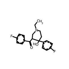 CCN1CCC(O)(c2ccc(F)cc2)C(C(=O)c2ccc(F)cc2)C1